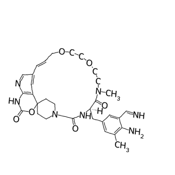 Cc1cc(C[C@H]2NC(=O)N3CCC4(CC3)OC(=O)Nc3ncc(cc34)/C=C/COCCOCCN(C)C2=O)cc(C=N)c1N